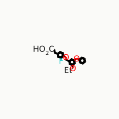 CCOc1cc(COc2ccc(CCC(=O)O)cc2F)cc(Oc2ccccc2)c1